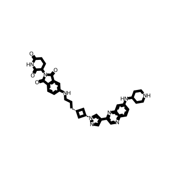 O=C1CCC(N2C(=O)c3ccc(NCCC[C@H]4C[C@@H](n5cc(-c6cnc7ccc(NC8CCNCC8)cc7n6)cn5)C4)cc3C2=O)C(=O)N1